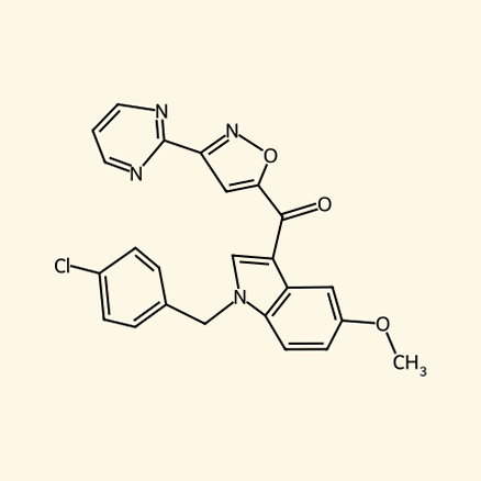 COc1ccc2c(c1)c(C(=O)c1cc(-c3ncccn3)no1)cn2Cc1ccc(Cl)cc1